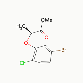 COC(=O)[C@H](C)Oc1cc(Br)ccc1Cl